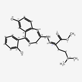 COC(=O)/C(CCN(C)C)=N\NC1=Nc2ccc(Cl)cc2C(c2ccccc2Cl)=NC1